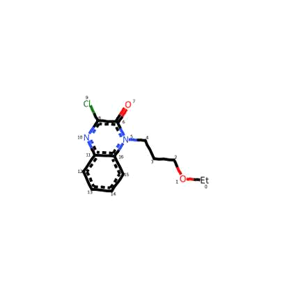 CCOCCCn1c(=O)c(Cl)nc2ccccc21